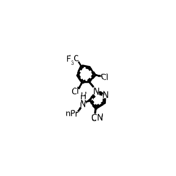 CCCNc1c(C#N)cnn1-c1c(Cl)cc(C(F)(F)F)cc1Cl